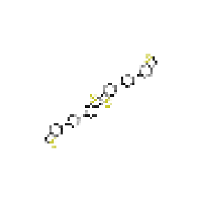 c1cc2ccc(-c3ccc(-c4ccc5c(c4)sc4c6ccc(-c7ccc(-c8ccc9ccsc9c8)cc7)cc6sc54)cc3)cc2s1